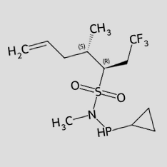 C=CC[C@H](C)[C@@H](CC(F)(F)F)S(=O)(=O)N(C)PC1CC1